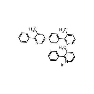 Cc1cccnc1-c1ccccc1.Cc1cccnc1-c1ccccc1.Cc1cccnc1-c1ccccc1.[Ir]